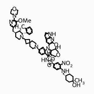 COc1cc(C[C@@H]2CCN(C3CC4(CCN(c5ccc(C(=O)NS(=O)(=O)c6ccc(NC[C@H]7CC[C@](C)(O)CC7)c([N+](=O)[O-])c6)c(N6c7cc8cc[nH]c8nc7O[C@H]7COCC[C@@H]76)c5)CC4)C3)[C@@H](c3ccccc3C)C2)cnc1N1CCOCC1